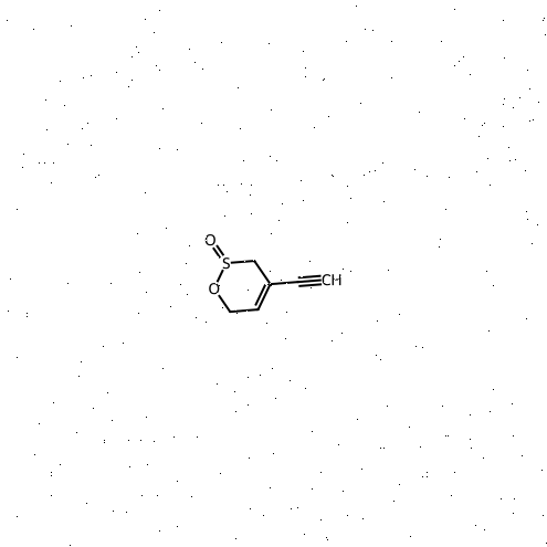 C#CC1=CCOS(=O)C1